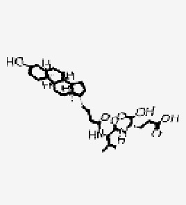 CC(C)[C@H](NC(=O)CCC[C@H]1CC[C@H]2[C@@H]3CC[C@@H]4C[C@H](O)CC[C@]4(C)[C@H]3CC[C@]12C)C(=O)N[C@@H](CCC(=O)O)C(=O)O